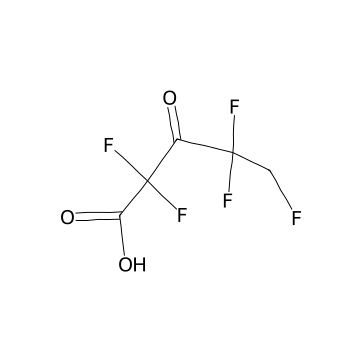 O=C(O)C(F)(F)C(=O)C(F)(F)CF